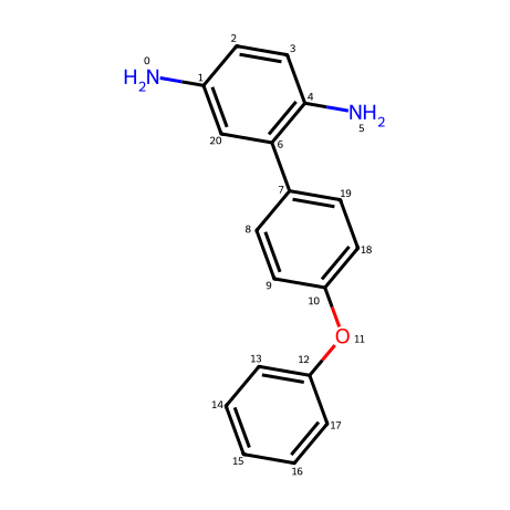 Nc1ccc(N)c(-c2ccc(Oc3ccccc3)cc2)c1